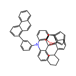 c1cc(-c2cccc3c2ccc2ccccc23)cc(N(c2ccccc2-c2cccc3cccc(C4CCCCC4)c23)c2cccc3c2oc2ccccc23)c1